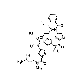 CN(CCC(=N)N)C(=O)n1ccc(N(C)C(=O)n2ccc(N(C)C(=O)c3nc(N(C(=O)c4ccccc4)N(CCCl)CCCl)c[nH]3)c2)c1.Cl